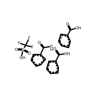 O=C(O)c1ccccc1.O=C(O)c1ccccc1.O=C(O)c1ccccc1.O=S(=O)(O)C(F)(F)F